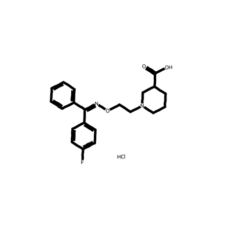 Cl.O=C(O)C1CCCN(CCO/N=C(/c2ccccc2)c2ccc(F)cc2)C1